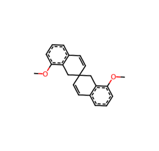 COc1cccc2c1CC1(C=C2)C=Cc2cccc(OC)c2C1